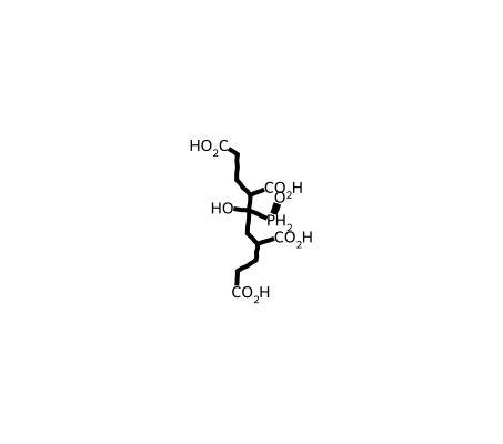 O=[PH2]C(O)(CC(CCC(=O)O)C(=O)O)C(CCC(=O)O)C(=O)O